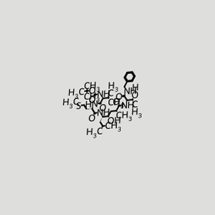 CSCC[C@H](NC(=O)[C@@H](NC(=O)OC(C)(C)C)C(C)C)C(=O)N[C@@H](CC(C)C)[C@@H](O)C[C@@H](C)C(=O)N[C@@H](C(=O)NCc1ccccc1)[C@@H](C)O